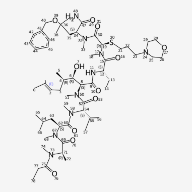 C/C=C/C[C@@H](C)[C@@H](O)[C@@H](C(=O)N[C@@H](CC)C(=O)N(C)[C@H](SCCCN1CCOCC1)C(=O)N(C)[C@@H](CC(C)(C)OCc1ccccc1)C(N)=O)N(C)C(=O)[C@H](C(C)C)N(C)C(=O)[C@H](CC(C)C)N(C)C(=O)[C@@H](C)N(C)C(=O)CC